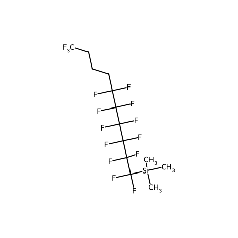 C[Si](C)(C)C(F)(F)C(F)(F)C(F)(F)C(F)(F)C(F)(F)C(F)(F)CCCC(F)(F)F